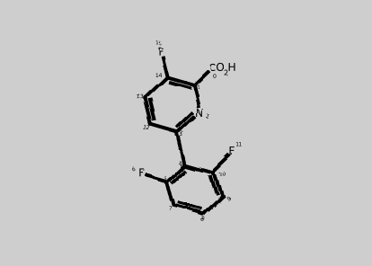 O=C(O)c1nc(-c2c(F)cccc2F)ccc1F